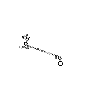 Cc1cn(-c2ccc(C(N)=O)c(NCCCOCCOCCOCCOCCOCCCNCC3CCC(C4CCCCCCC4)C3)c2)c2c1C(=O)CC(C)(C)C2